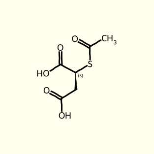 CC(=O)S[C@@H](CC(=O)O)C(=O)O